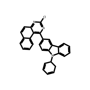 Clc1nc(-c2ccc3c(c2)c2ccccc2n3C2C=CC=CC2)c2c(ccc3ccccc32)n1